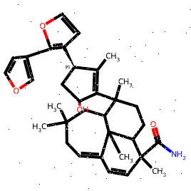 CC1=C(C2(C)CCC3C(C)(C(N)=O)C=CC4=CCC(C)(C)CC2C43C)C(O)C[C@H]1c1ccoc1-c1ccoc1